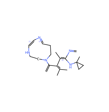 C=N/C(NC1(C)CC1)=C(\C)C(C(=C)N1CC/C=N/C=C\NCC1)=C(C)C